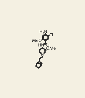 COc1cc(N)c(Cl)cc1C(=O)N[C@H]1CCN(CCC2CC3CCC2C3)C[C@H]1OC